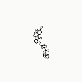 O=C1CCC(N2C(=O)c3cccc(OCc4csc(C(=O)OC56CC7CC(CC(C7)C5)C6)n4)c3C2=O)C(=O)N1